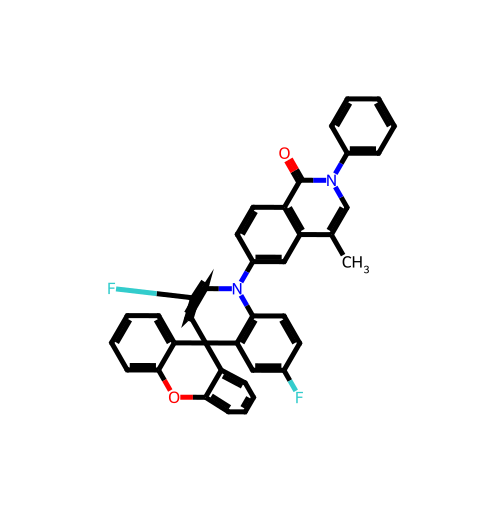 Cc1cn(-c2ccccc2)c(=O)c2ccc(N3c4ccc(F)cc4C4(c5ccccc5Oc5ccccc54)c4cc(F)ccc43)cc12